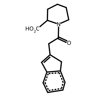 O=C(O)C1CCCCN1C(=O)CC1=Cc2ccccc2C1